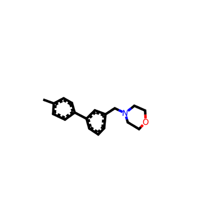 Cc1ccc(-c2cccc(CN3CCOCC3)c2)cc1